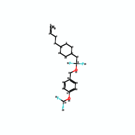 C=CCCC1CCC(CC(F)(F)OCc2ccc(OC(F)F)cc2)CC1